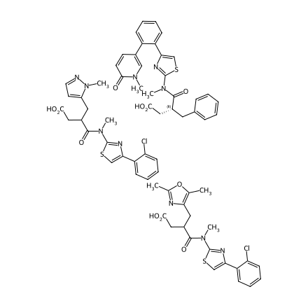 CN(C(=O)C(CC(=O)O)Cc1ccnn1C)c1nc(-c2ccccc2Cl)cs1.CN(C(=O)[C@@H](CC(=O)O)Cc1ccccc1)c1nc(-c2ccccc2-c2ccc(=O)n(C)c2)cs1.Cc1nc(CC(CC(=O)O)C(=O)N(C)c2nc(-c3ccccc3Cl)cs2)c(C)o1